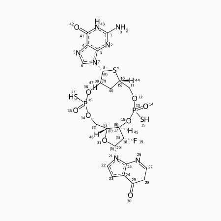 Nc1nc2c(ncn2[C@@H]2S[C@@H]3COP(=O)(S)O[C@H]4[C@H](F)[C@H](n5ccc6c5N=CCC6=O)O[C@@H]4COP(=O)(S)O[C@@H]2C3)c(=O)[nH]1